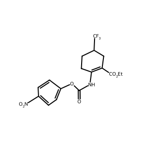 CCOC(=O)C1=C(NC(=O)Oc2ccc([N+](=O)[O-])cc2)CCC(C(F)(F)F)C1